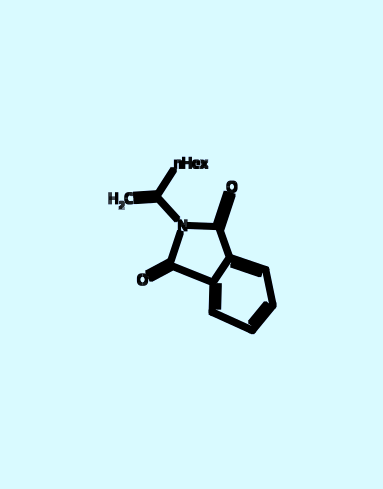 C=C(CCCCCC)N1C(=O)c2ccccc2C1=O